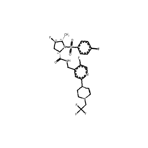 C[C@H]1[C@H](F)C[C@@H](C(=O)NCc2cc(C3CCN(CC(F)(F)F)CC3)ncc2F)N1S(=O)(=O)c1ccc(F)cc1